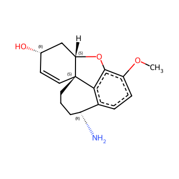 COc1ccc2c3c1O[C@H]1C[C@@H](O)C=C[C@@]31CCC[C@H]2N